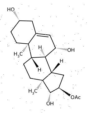 CC(=O)O[C@@H]1C[C@H]2[C@@H]3[C@@H](O)C=C4C[C@@H](O)CC[C@]4(C)[C@H]3CC[C@]2(C)[C@H]1O